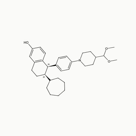 COC(OC)C1CCN(c2ccc([C@@H]3c4ccc(O)cc4CC[C@@H]3C3CCCCCC3)cc2)CC1